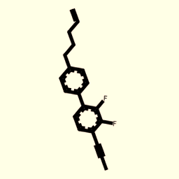 C=CCCCc1ccc(-c2ccc(C#CC)c(F)c2F)cc1